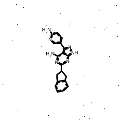 Nc1ccc(-c2n[nH]c3nc(C4Cc5ccccc5C4)nc(N)c23)cn1